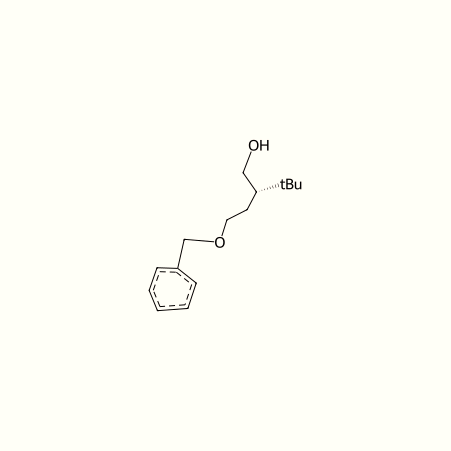 CC(C)(C)[C@@H](CO)CCOCc1ccccc1